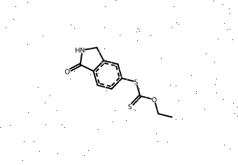 CCOC(=S)Sc1ccc2c(c1)CNC2=O